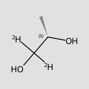 [2H]C([2H])(O)[C@H](C)O